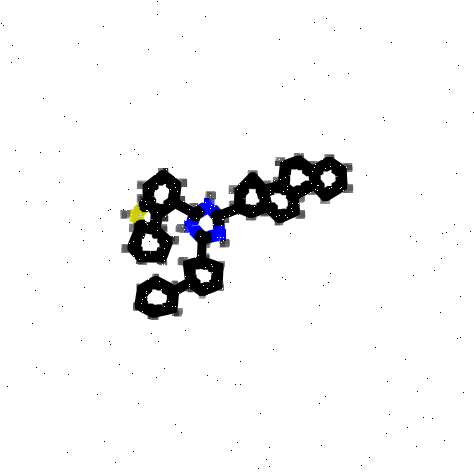 c1ccc(-c2cccc(-c3nc(-c4ccc5c(ccc6c7ccccc7ccc56)c4)nc(-c4cccc5sc6ccccc6c45)n3)c2)cc1